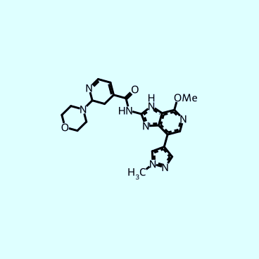 COc1ncc(-c2cnn(C)c2)c2nc(NC(=O)C3=CC=NC(N4CCOCC4)C3)[nH]c12